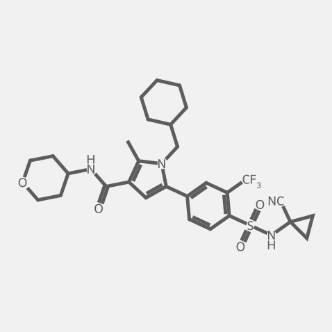 Cc1c(C(=O)NC2CCOCC2)cc(-c2ccc(S(=O)(=O)NC3(C#N)CC3)c(C(F)(F)F)c2)n1CC1CCCCC1